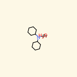 CC(C)N(C1CCCCC1)C1CCCCC1.O